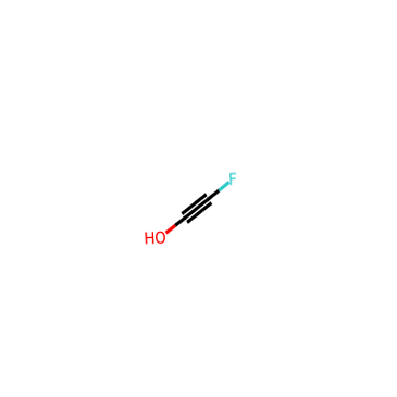 OC#CF